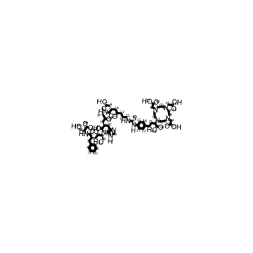 C[C@H](NC(=O)[C@H](CC(=O)O)CC(=O)CCCNC(=S)Nc1ccc(CCC(C(=O)O)N2CCN(CC(=O)O)CCN(CC(=O)O)CCN(CC(=O)O)CC2)cc1)C(=O)C[C@@H](Cc1c[nH]cn1)C(=O)N[C@@H](CO)C(=O)C[C@@H](Cc1ccccc1)C(=O)N[C@@H](CO)C(=O)O